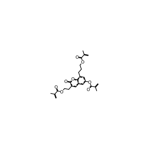 C=C(C)C(=O)OCCCc1cc(OC(=O)C(=C)C)cc2cc(CCOC(=O)C(=C)C)c(=O)oc12